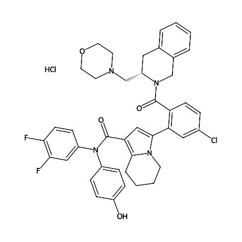 Cl.O=C(c1cc(-c2cc(Cl)ccc2C(=O)N2Cc3ccccc3C[C@H]2CN2CCOCC2)n2c1CCCC2)N(c1ccc(O)cc1)c1ccc(F)c(F)c1